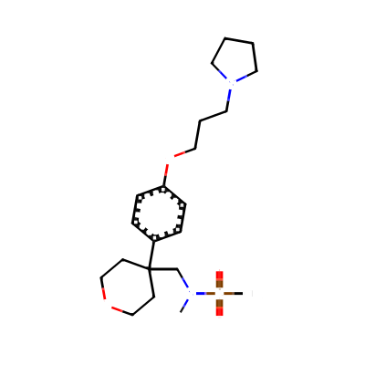 CCN(CC1(c2ccc(OCCCN3CCCC3)cc2)CCOCC1)S(C)(=O)=O